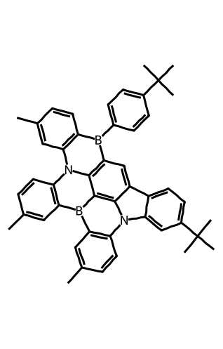 Cc1ccc2c(c1)B1c3cc(C)ccc3-n3c4cc(C(C)(C)C)ccc4c4cc5c(c1c43)N2c1cc(C)ccc1B5c1ccc(C(C)(C)C)cc1